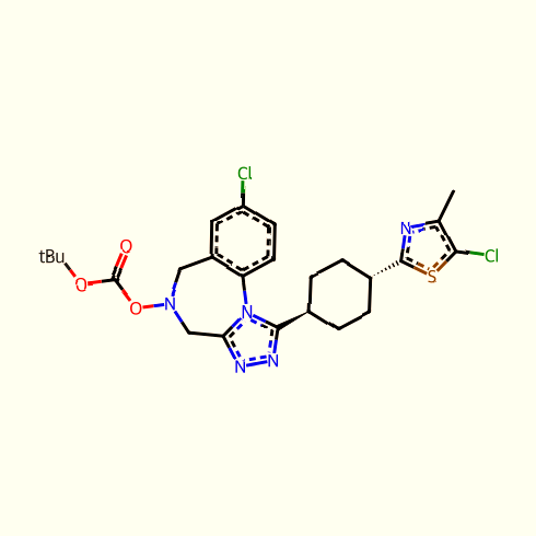 Cc1nc([C@H]2CC[C@H](c3nnc4n3-c3ccc(Cl)cc3CN(OC(=O)OC(C)(C)C)C4)CC2)sc1Cl